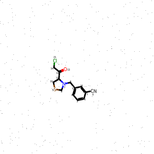 N#Cc1cccc(CN2CSCC2C(=O)CCl)c1